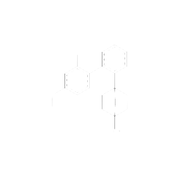 CCCCC12CCC(c3ccccc3-c3ccc(OCC)cc3F)(CC1)CC2